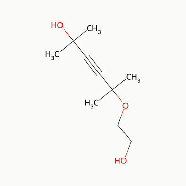 CC(C)(O)C#CC(C)(C)OCCO